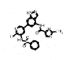 Cc1nc(C(=O)Nc2cc(-c3cnc(Cl)c(NS(=O)(=O)c4ccccc4)c3)cc3[nH]ncc23)cs1